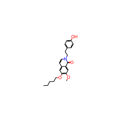 CCCCCOc1cc2ccn(CCc3ccc(O)cc3)c(=O)c2cc1OC